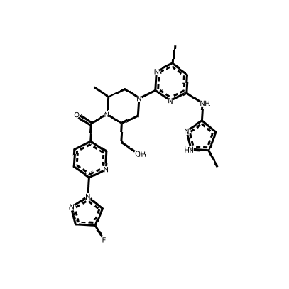 Cc1cc(Nc2cc(C)[nH]n2)nc(N2CC(C)N(C(=O)c3ccc(-n4cc(F)cn4)nc3)C(CO)C2)n1